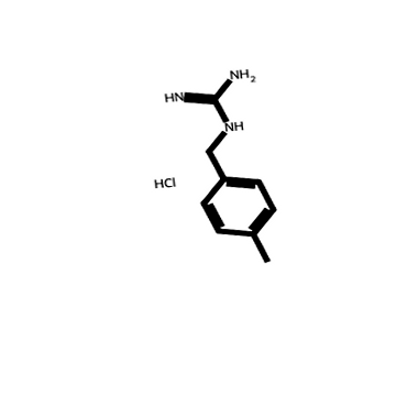 Cc1ccc(CNC(=N)N)cc1.Cl